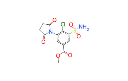 COC(=O)c1cc(N2C(=O)CCC2=O)c(Cl)c(S(N)(=O)=O)c1